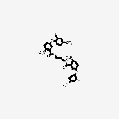 O=C(OCCCOC(=O)c1cc(Oc2ccc(C(F)(F)F)cc2Cl)ccc1[N+](=O)[O-])c1cc(Oc2ccc(C(F)(F)F)cc2Cl)ccc1[N+](=O)[O-]